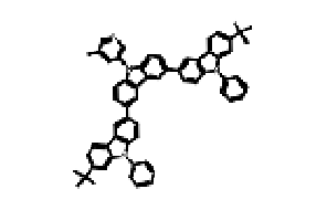 Cc1cncc(-n2c3ccc(-c4ccc5c(c4)c4ccc(C(C)(C)C)cc4n5-c4ccccc4)cc3c3cc(-c4ccc5c(c4)c4ccc(C(C)(C)C)cc4n5-c4ccccc4)ccc32)c1